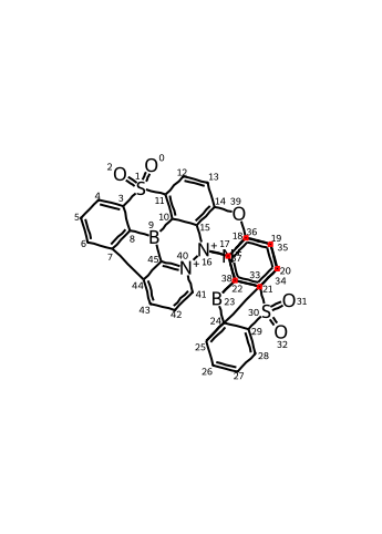 O=S1(=O)c2cccc3c2B2c4c1ccc1c4[N+]4(c5c(ccc6c5B5c7c(cccc7S6(=O)=O)-c6ccc[n+]4c65)O1)[n+]1cccc-3c12